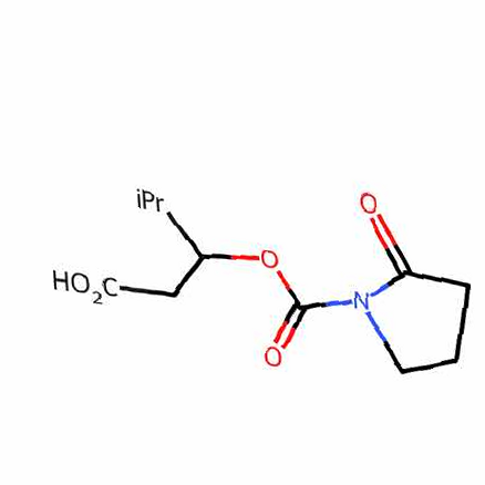 CC(C)C(CC(=O)O)OC(=O)N1CCCC1=O